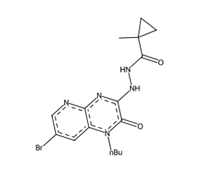 CCCCn1c(=O)c(NNC(=O)C2(C)CC2)nc2ncc(Br)cc21